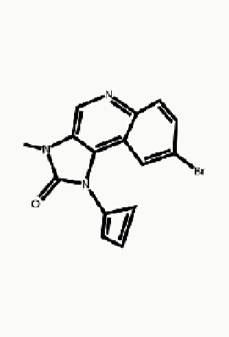 Cn1c(=O)n(C2=CC=C2)c2c3cc(Br)ccc3ncc21